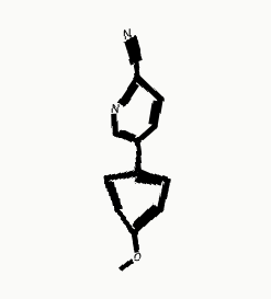 COc1ccc(-c2ccc(C#N)nc2)cc1